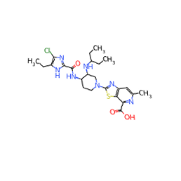 CCc1[nH]c(C(=O)N[C@@H]2CCN(c3nc4cc(C)nc(C(=O)O)c4s3)C[C@@H]2NC(CC)CC)nc1Cl